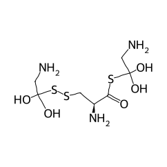 NCC(O)(O)SSC[C@H](N)C(=O)SC(O)(O)CN